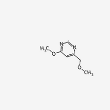 COCc1cc(OC)n[c]n1